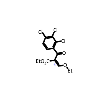 CCO/C=C(/C(=O)OCC)C(=O)c1ccc(Cl)c(Cl)c1Cl